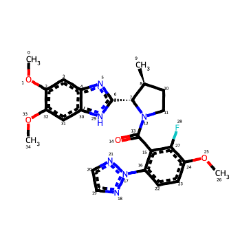 COc1cc2nc([C@@H]3[C@@H](C)CCN3C(=O)c3c(-n4nccn4)ccc(OC)c3F)[nH]c2cc1OC